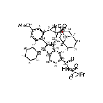 COc1ccc2c(c1)C1C[C@]1(C(=O)N1C3CCCC1CN(C)C3)Cn1c-2c(C2CCCCC2)c2ccc(C(=O)NS(=O)(=O)C(C)C)cc21